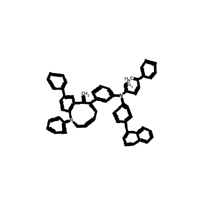 C=C(/C=C\C(=C/C)N(c1ccc(-c2cccc3ccccc23)cc1)c1cccc(/C2=C/C=C\CN(c3ccccc3)c3ccc(-c4ccccc4)cc3C2=C)c1)c1ccccc1